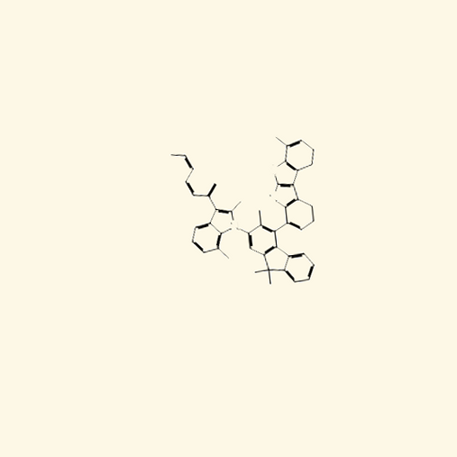 C=C(/C=C\C=C/C)c1c(C)n(-c2cc3c(c(C4=CCCc5c4[nH]c4sc6c(c54)CCC=C6C)c2C)-c2ccccc2C3(C)C)c2c(C)cccc12